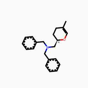 CC1=CO[C@@H](CN(Cc2ccccc2)Cc2ccccc2)CC1